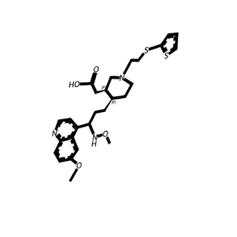 CONC(CC[C@@H]1CCN(CCSc2cccs2)C[C@@H]1CC(=O)O)c1ccnc2ccc(OC)cc12